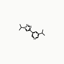 CC(C)c1cncc(-c2cn(C(C)C)nn2)c1